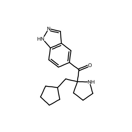 O=C(c1ccc2[nH]ncc2c1)C1(CC2CCCC2)CCCN1